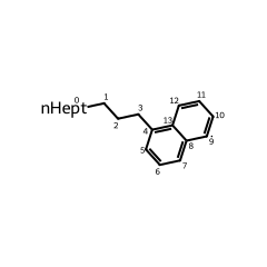 CCCCCCCCCCc1cccc2[c]cccc12